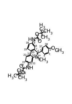 COc1ccc(-c2c3cc(NC(=O)OC(C)(C)C)ccc3c3ccc(NC(=O)OC(C)(C)C)cc3[n+]2C)cc1